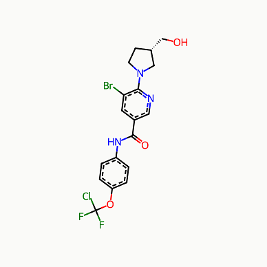 O=C(Nc1ccc(OC(F)(F)Cl)cc1)c1cnc(N2CC[C@H](CO)C2)c(Br)c1